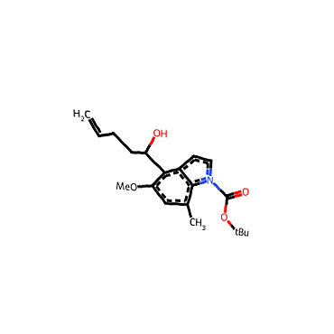 C=CCCC(O)c1c(OC)cc(C)c2c1ccn2C(=O)OC(C)(C)C